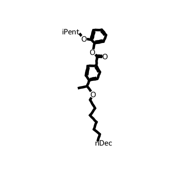 CCCCCCCCCCCCCCCCOC(C)c1ccc(C(=O)Oc2ccccc2OC(C)CCC)cc1